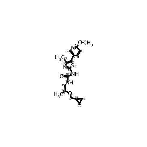 COc1ccc(-c2sc(NC(=O)NC[C@H](C)OCC3CC3)nc2C)cn1